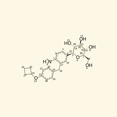 Nc1ccc([C@@H]2O[C@H](CO)[C@@H](O)[C@H](O)[C@H]2O)cc1Cc1ccc(OC2CCC2)cc1